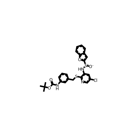 CC(C)(C)OC(=O)Nc1cccc(CSc2ncc(Cl)cc2N[S+]([O-])c2cc3ccccc3o2)c1